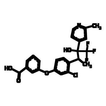 Cc1cc(C(O)(C(C)c2ccc(Oc3cccc(C(=O)O)c3)cc2Cl)C(F)(F)F)ccn1